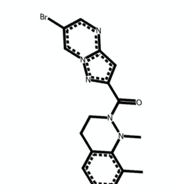 Cc1cccc2c1N(C)N(C(=O)c1cc3ncc(Br)cn3n1)CC2